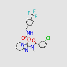 CN(C(=O)c1cccc(Cl)c1)c1nc2n(c1OC(=O)NCc1ccc(C(F)(F)F)cc1)CCCC2